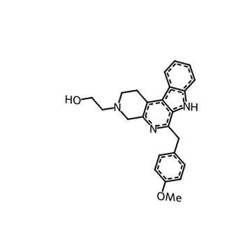 COc1ccc(Cc2nc3c(c4c2[nH]c2ccccc24)CCN(CCO)C3)cc1